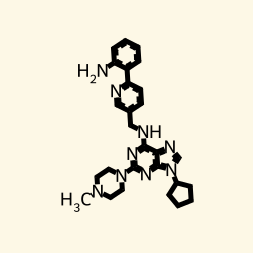 CN1CCN(c2nc(NCc3ccc(-c4ccccc4N)nc3)c3ncn(C4CCCC4)c3n2)CC1